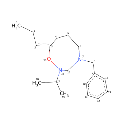 CC/C=C1\CCCN(Cc2ccccc2)CN(C(C)C)O1